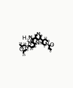 C=CC(=O)N1CC=C(c2cncc(C(N)=O)c2Nc2ccc(N3CC(C)OC(C)C3)nc2)CC1